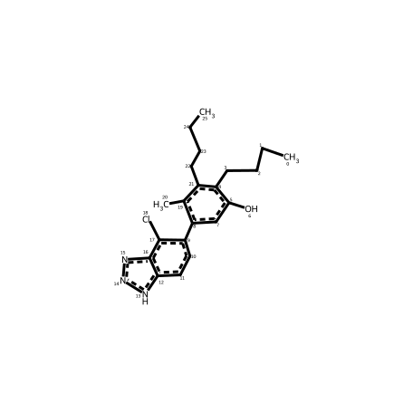 CCCCc1c(O)cc(-c2ccc3[nH]nnc3c2Cl)c(C)c1CCCC